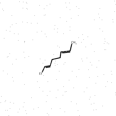 [CH2]C/C=C/CC/C=C/C